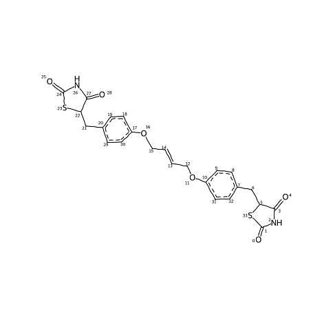 O=C1NC(=O)C(Cc2ccc(OC/C=C/COc3ccc(CC4SC(=O)NC4=O)cc3)cc2)S1